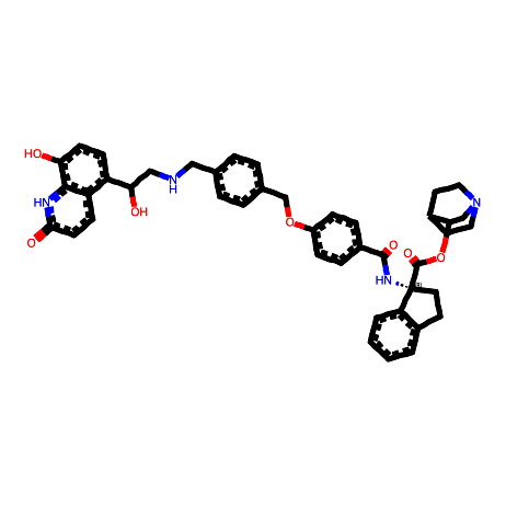 O=C(N[C@]1(C(=O)OC2CN3CCC2CC3)CCc2ccccc21)c1ccc(OCc2ccc(CNCC(O)c3ccc(O)c4[nH]c(=O)ccc34)cc2)cc1